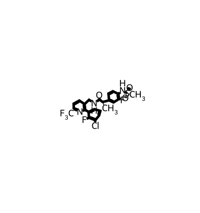 C[C@H](C(=O)NCc1ccc(C(F)(F)F)nc1-c1cccc(Cl)c1F)c1ccc(NS(C)(=O)=O)c(F)c1